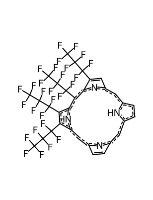 FC(F)(F)C(F)(F)C(F)(F)C1=Cc2cc3ccc(cc4nc(cc5[nH]c(c(C(F)(F)C(F)(F)C(F)(F)F)c1n2)c(C(F)(F)C(F)(F)C(F)(F)F)c5C(F)(F)C(F)(F)C(F)(F)F)C=C4)[nH]3